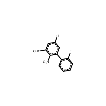 O=Cc1cc(Cl)cc(-c2ccccc2F)c1[N+](=O)[O-]